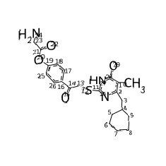 Cc1c(CC2CCCCC2)nc(SCC(=O)c2ccc(OC(=O)CN)cc2)[nH]c1=O